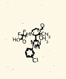 CC1(C)C(c2nnn(-c3cccc(Cl)c3)n2)NCCN1C=O.O=C(O)C(F)(F)F